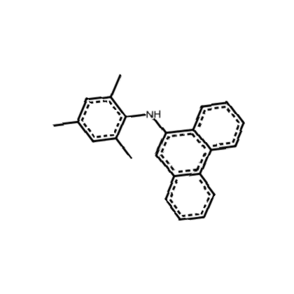 Cc1cc(C)c(Nc2cc3ccccc3c3ccccc23)c(C)c1